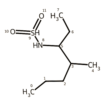 CCCC(C)C(CC)N[SH](=O)=O